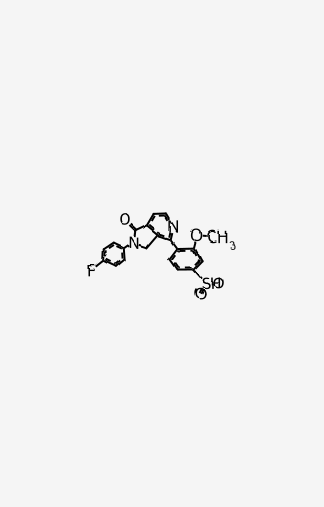 COc1cc([SH](=O)=O)ccc1-c1nccc2c1CN(c1ccc(F)cc1)C2=O